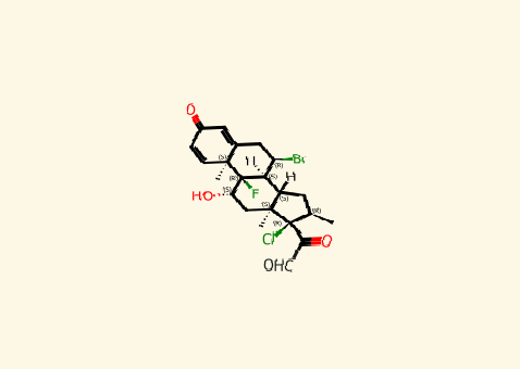 C[C@@H]1C[C@H]2[C@@H]3[C@H](Br)CC4=CC(=O)C=C[C@]4(C)[C@@]3(F)[C@@H](O)C[C@]2(C)[C@@]1(Cl)C(=O)C=O